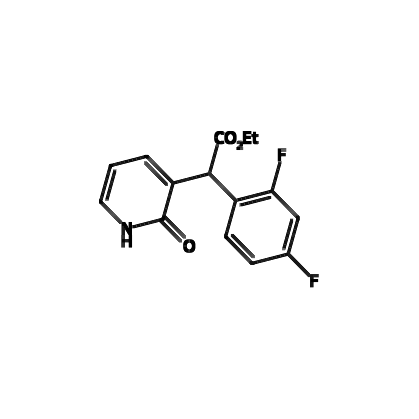 CCOC(=O)C(c1ccc(F)cc1F)c1ccc[nH]c1=O